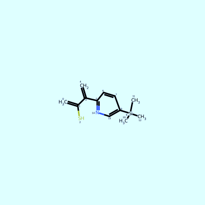 C=C(S)C(=C)c1ccc([Si](C)(C)C)cn1